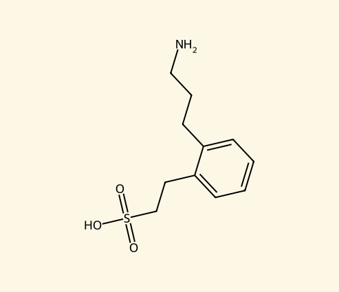 NCCCc1ccccc1CCS(=O)(=O)O